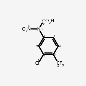 O=C(O)N(c1ccc(C(F)(F)F)c(Cl)c1)[N+](=O)[O-]